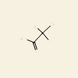 NC(F)(F)C(=O)O